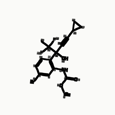 CC(C)(C)OC(=O)Nc1cc(Br)ccc1C(O)(C#CC1CC1)C(C)(F)F